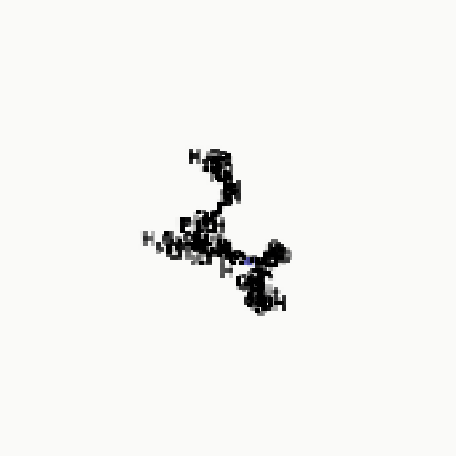 CC[C@@]1(O)C(=O)OCc2c1cc1n(c2=O)Cc2c-1nc1cc3c(cc1c2/C=C/COCNC(=O)CNC(=O)C(CCCCN(C)C)NC(=O)C(NC(=O)CCCCCn1cc(-c2cnc(S(C)(=O)=O)nc2)nn1)C(C)C)OCO3